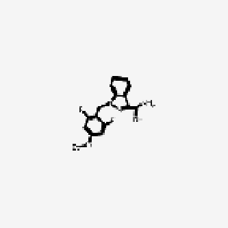 CCOc1cc(F)c(Cn2nc(C(=N)N)c3ccccc32)c(F)c1